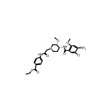 CCOC(=O)c1ccc(NC(=O)CN2CC[C@@H](NC(=O)c3cc(Cl)c(N)cc3OC)[C@@H](OC)C2)cc1